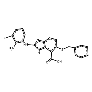 Nc1c(Cl)cccc1Nc1nc2ccc(SCc3ccccc3)c(C(=O)O)c2[nH]1